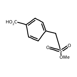 COS(=O)(=O)Cc1ccc(C(=O)O)cc1